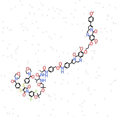 COc1ccc(C2=CN3C(=O)c4cc(OC)c(OCCCOc5cc6c(cc5OC)C(=O)N5C=C(c7ccc(NC(=O)OCc8ccc(NC(=O)[C@H](C)NC(=O)[C@@H](NC(=O)CC(C)(C)OCCC(C)(C)Oc9c(F)cc(N%10C(=O)C(Sc%11ccc(C(=O)N%12CCOCC%12)cc%11)=C(Sc%11ccc(C(=O)N%12CCOCC%12)cc%11)C%10=O)cc9F)C(C)C)cc8)cc7)CC5C=N6)cc4N=CC3C2)cc1